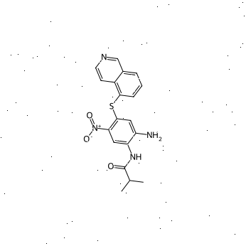 CC(C)C(=O)Nc1cc([N+](=O)[O-])c(Sc2cccc3cnccc23)cc1N